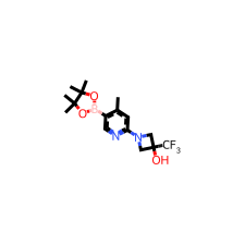 Cc1cc(N2CC(O)(C(F)(F)F)C2)ncc1B1OC(C)(C)C(C)(C)O1